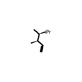 C=C[C@@H](C)[C@@H](C)C(C)C